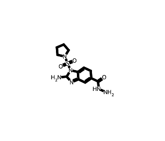 NNC(=O)C1=CC2=NC(N)N(S(=O)(=O)N3CCCC3)C2=CC1